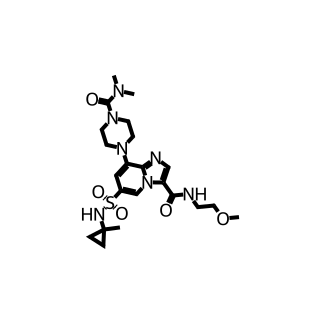 COCCNC(=O)c1cnc2c(N3CCN(C(=O)N(C)C)CC3)cc(S(=O)(=O)NC3(C)CC3)cn12